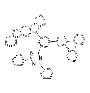 c1ccc(-c2nc(-c3ccccc3)nc(-c3cc(-c4ccc5c6ccccc6c6ccccc6c5c4)cc(-n4c5ccccc5c5cc6sc7ccccc7c6cc54)c3)n2)cc1